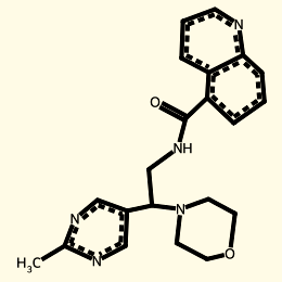 Cc1ncc(C(CNC(=O)c2cccc3ncccc23)N2CCOCC2)cn1